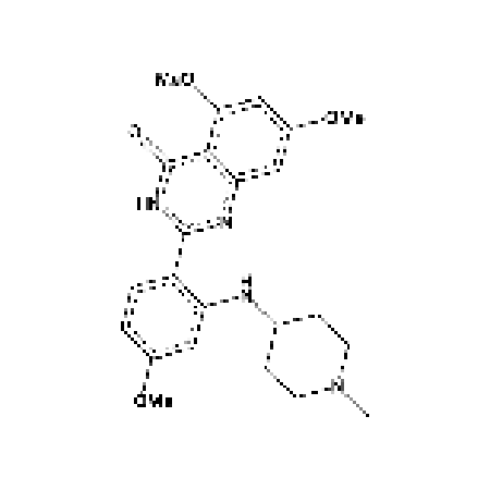 COc1ccc(-c2nc3cc(OC)cc(OC)c3c(=O)[nH]2)c(NC2CCN(C)CC2)c1